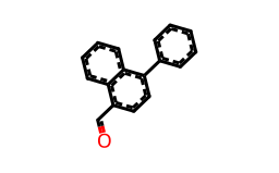 O=Cc1ccc(-c2ccccc2)c2ccccc12